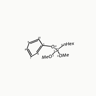 CCCCCC[Si](OC)(OC)Oc1ccccc1